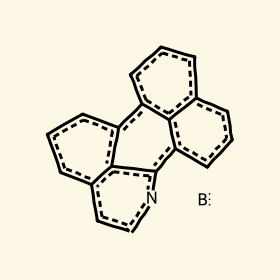 [B].c1cc2cccc3c4nccc5cccc(c(c1)c23)c54